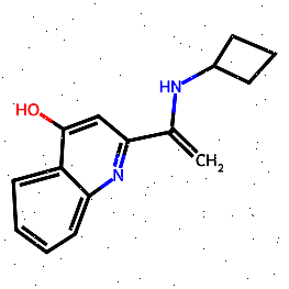 C=C(NC1CCC1)c1cc(O)c2ccccc2n1